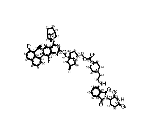 C#Cc1c(F)ccc2cccc(-c3ncc4c(N5CC6CCC(C5)N6)nc(OC[C@@]56CC[C@@H](COC(=O)N7CCN(CCNc8cccc9c8C(=O)N(C8CCC(=O)NC8=O)C9=O)CC7)N5CC(=C)C6)nc4c3F)c12